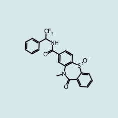 CN1C(=O)c2ccccc2[S+]([O-])c2ccc(C(=O)NC(c3ccccc3)C(F)(F)F)cc21